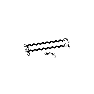 CCCCCCCCCCCCCCCCCC(=O)[O-].CCCCCCCCCCCCCCCCCC(=O)[O-].[GeH2+2]